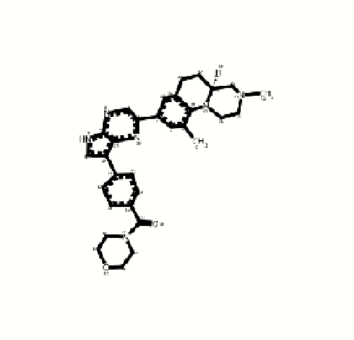 Cc1cc(-c2cnc3[nH]cc(-c4ccc(C(=O)N5CCOCC5)cc4)c3n2)cc2c1N1CCN(C)C[C@@H]1CC2